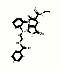 CCOC(=O)C1=C(C)N(c2ccccc2SCCOC(=O)c2ccccc2)C2=C(C1)C(=O)OC2